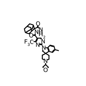 Cc1ccc2c(c1)C1(CCN(C3COC3)CC1)CN2c1ncc(C(=O)NC2(C(N)=O)C3CC4CC(C3)CC2C4)c(C(F)(F)F)n1